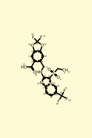 CCS(=O)(=O)c1c(NCc2cc3c(cc2C(=O)O)OC(F)(F)O3)nc2ccc(C(F)(F)F)cn12